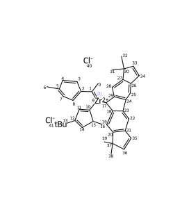 C/[C](c1ccc(C)cc1)=[Zr+2](/[C]1=CC(C(C)(C)C)=CC1C)[CH]1c2cc3c(cc2-c2cc4c(cc21)C(C)(C)C=C4)C=CC3(C)C.[Cl-].[Cl-]